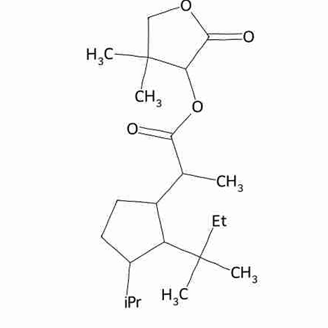 CCC(C)(C)C1C(C(C)C)CCC1C(C)C(=O)OC1C(=O)OCC1(C)C